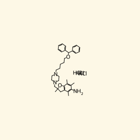 Cc1c(C)c2c(c(C)c1N)CC(C)(CN1CCN(CCCCCOC(c3ccccc3)c3ccccc3)CC1)O2.Cl.Cl.Cl